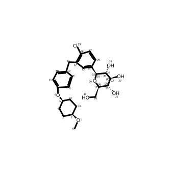 CO[C@H]1CC[C@@H](Oc2ccc(Cc3cc([C@@H]4O[C@H](CO)[C@@H](O)[C@H](O)[C@H]4O)ccc3Cl)cc2)CC1